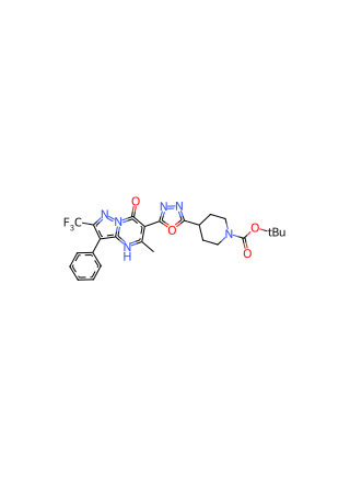 Cc1[nH]c2c(-c3ccccc3)c(C(F)(F)F)nn2c(=O)c1-c1nnc(C2CCN(C(=O)OC(C)(C)C)CC2)o1